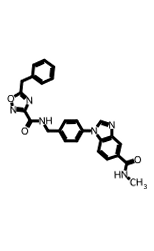 CNC(=O)c1ccc2c(c1)ncn2-c1ccc(CNC(=O)c2noc(Cc3ccccc3)n2)cc1